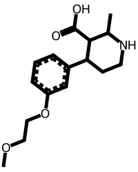 COCCOc1cccc(C2CCNC(C)C2C(=O)O)c1